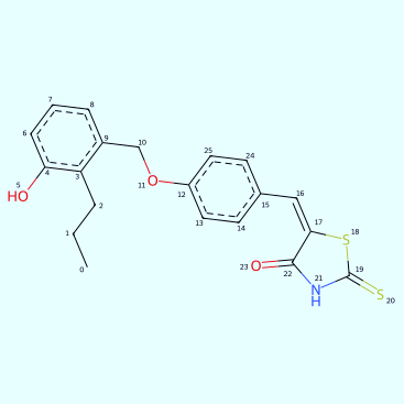 CCCc1c(O)cccc1COc1ccc(C=C2SC(=S)NC2=O)cc1